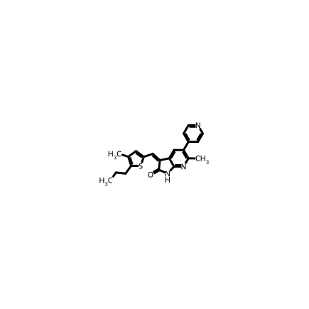 CCCc1sc(C=C2C(=O)Nc3nc(C)c(-c4ccncc4)cc32)cc1C